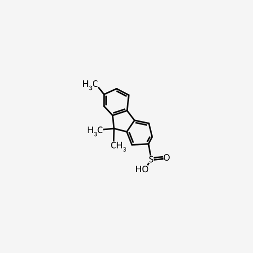 Cc1ccc2c(c1)C(C)(C)c1cc(S(=O)O)ccc1-2